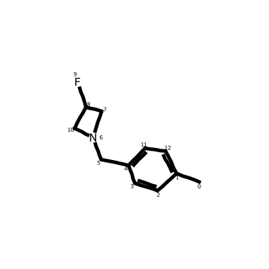 Cc1ccc(CN2CC(F)C2)cc1